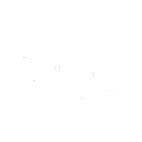 CC(C)NC(=O)CC1(NC(C)C)CC1